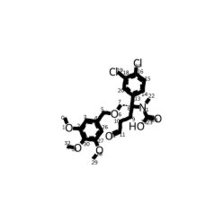 COc1cc(COC[C@](CCC=O)(c2ccc(Cl)c(Cl)c2)N(C)C(=O)O)cc(OC)c1OC